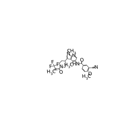 COc1ccc(C(=O)Nc2cnc3c(c(C4CCN(C(=O)[C@@H](C)C(F)(F)F)CC4)cn3C)c2C)cc1C#N